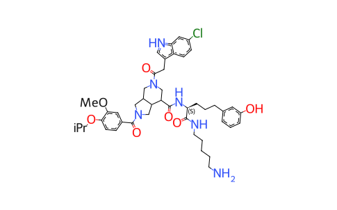 COc1cc(C(=O)N2CC3CN(C(=O)Cc4c[nH]c5cc(Cl)ccc45)CC(C(=O)N[C@@H](CCCc4cccc(O)c4)C(=O)NCCCCCN)C3C2)ccc1OC(C)C